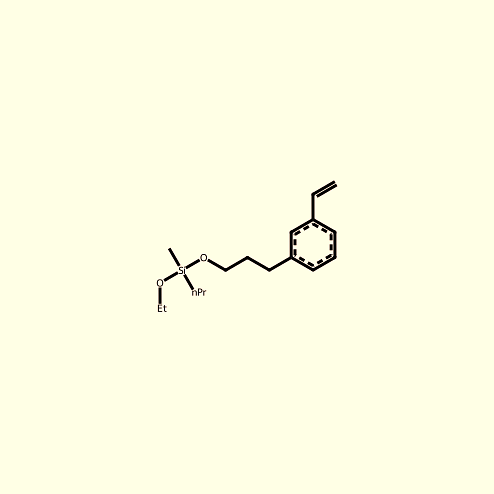 C=Cc1cccc(CCCO[Si](C)(CCC)OCC)c1